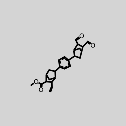 C=CC1C2CC(CC2c2ccc(C3CC4CC3C(C=O)C4C=O)cc2)C1C(=O)OC